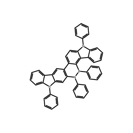 c1ccc(B2c3c(ccc4c3c3ccccc3n4-c3ccccc3)-c3cc4c5ccccc5n(-c5ccccc5)c4cc3N2c2ccccc2)cc1